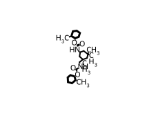 Cc1ccccc1OC(=O)NCC1(C)CC(NC(=O)Oc2ccccc2C)CC(C)(C)C1